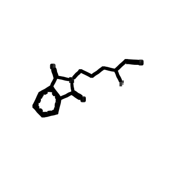 O=CC(F)CCCN1C(=O)c2ccccc2C1=O